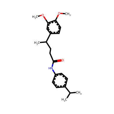 COc1ccc(C(C)CCC(=O)Nc2ccc(C(C)C)cc2)cc1OC